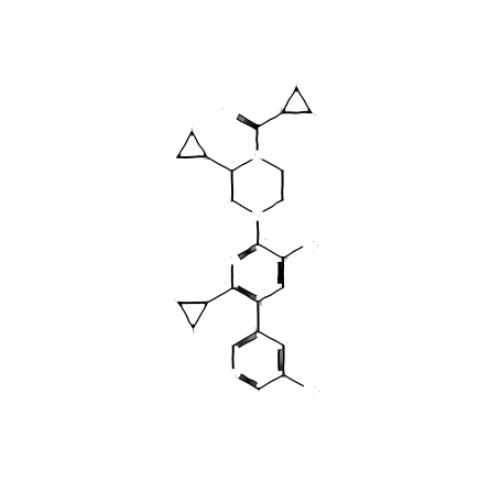 N#Cc1cncc(-c2cc(C#N)c(N3CCN(C(=O)C4CC4)C(C4CC4)C3)nc2C2CC2)c1